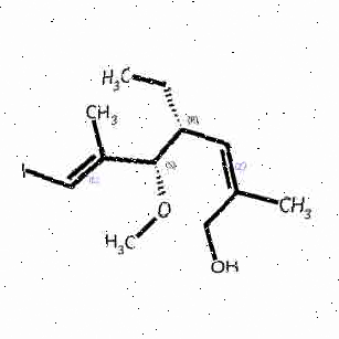 CC[C@H](/C=C(/C)CO)[C@H](OC)/C(C)=C/I